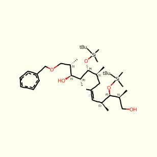 C/C(=C/[C@H](C)[C@@H](O[Si](C)(C)C(C)(C)C)[C@@H](C)CO)C[C@H](C)[C@@H](O[Si](C)(C)C(C)(C)C)[C@H](C)[C@@H](O)[C@@H](C)COCc1ccccc1